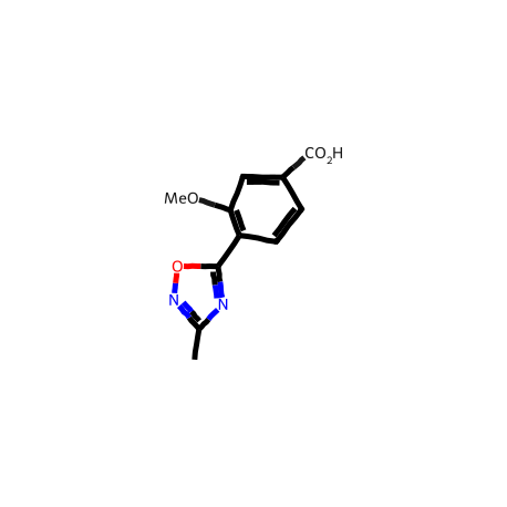 COc1cc(C(=O)O)ccc1-c1nc(C)no1